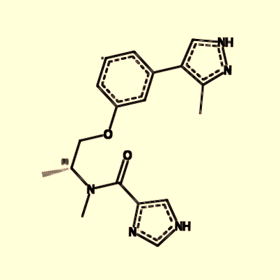 Cc1n[nH]cc1-c1c[c]cc(OC[C@@H](C)N(C)C(=O)c2c[nH]cn2)c1